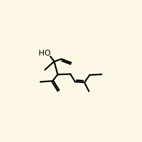 C=CC(C)(O)C(CC=C(C)CC)C(=C)C